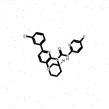 O=C(Nc1ccc(F)cn1)N1c2nc(-c3cccc(Cl)c3)ccc2N2CCC[C@H]1C2